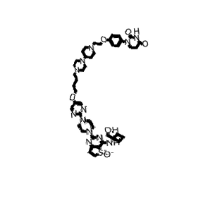 O=C1CCN(c2ccc(OCCN3CCC(N4CCN(CCCCOc5cnc(N6CCN(c7nc8c(c(NC9(CO)CCC9)n7)[S@+]([O-])CC8)CC6)nc5)CC4)CC3)cc2)C(=O)N1